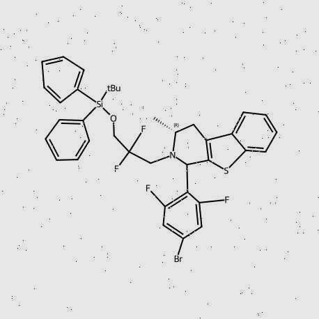 C[C@@H]1Cc2c(sc3ccccc23)C(c2c(F)cc(Br)cc2F)N1CC(F)(F)CO[Si](c1ccccc1)(c1ccccc1)C(C)(C)C